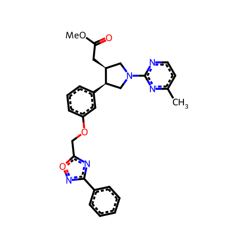 COC(=O)C[C@H]1CN(c2nccc(C)n2)C[C@H]1c1cccc(OCc2nc(-c3ccccc3)no2)c1